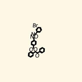 O=C(OC(C(=O)c1ccccc1)c1ccccc1)c1ccc(-c2nnc(-c3cccc(Br)c3)o2)cc1